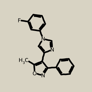 Cc1onc(-c2ccccc2)c1-c1cn(-c2cccc(F)c2)cn1